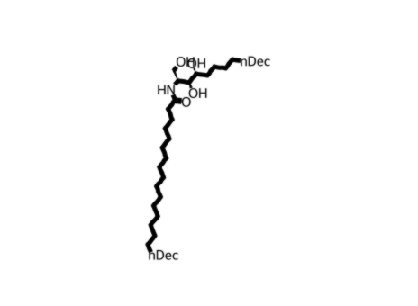 CCCCCCCCCCCCCCCCCCCCCCCCCC(=O)N[C@@H](CO)[C@H](O)[C@H](O)CCCCCCCCCCCCCC